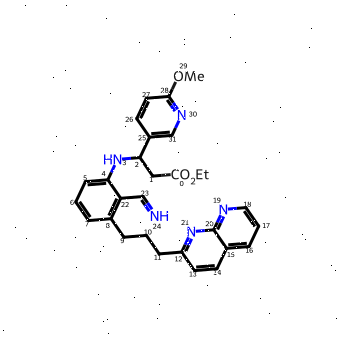 CCOC(=O)CC(Nc1cccc(CCCc2ccc3cccnc3n2)c1C=N)c1ccc(OC)nc1